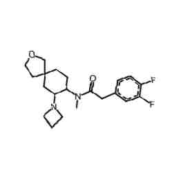 CN(C(=O)Cc1ccc(F)c(F)c1)C1CCC2(CCOC2)CC1N1CCC1